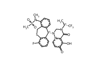 C[C@@H](N1CN([C@H]2c3cccc(N(C)S(C)(=O)=O)c3CSc3c(F)cccc32)n2ccc(=O)c(O)c2C1=O)C(F)(F)F